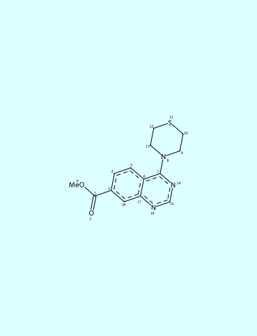 COC(=O)c1ccc2c(N3CCSCC3)ncnc2c1